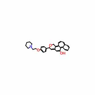 Oc1cc2c(c3c1=c1ccccc1=CC=C3)COC(c1ccc(OCCN3CCCCC3)cc1)C=2